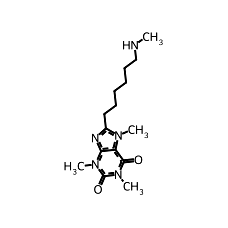 CNCCCCCCc1nc2c(c(=O)n(C)c(=O)n2C)n1C